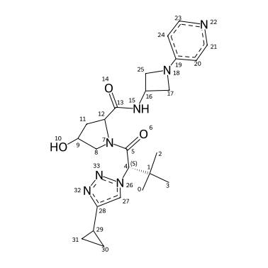 CC(C)(C)[C@@H](C(=O)N1CC(O)CC1C(=O)NC1CN(c2ccncc2)C1)n1cc(C2CC2)nn1